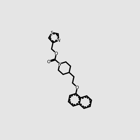 O=C(OCc1cscn1)N1CCC(CCOc2cccc3ccccc23)CC1